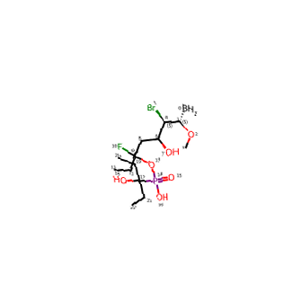 B[C@H](OC)[C@H](Br)C(O)CC(F)(CC)OP(=O)(O)C(O)(CC)CC